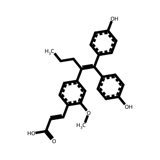 CCCC(=C(c1ccc(O)cc1)c1ccc(O)cc1)c1ccc(C=CC(=O)O)c(OC)c1